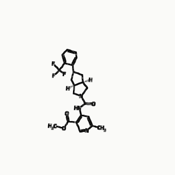 COC(=O)c1cnc(C)cc1NC(=O)N1C[C@H]2CC(c3ccccc3C(F)(F)F)C[C@H]2C1